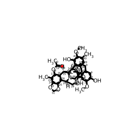 COc1cc2c(cc1O)CCN[C@]21CS[C@@H]2c3c(OC(C)=O)c(C)c4c(c3[C@H](COC1=O)N1C2C2NC(Cc3cc(C)c(OC)c(O)c32)[C@@H]1O)OCO4